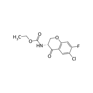 CCOC(=O)N[C@@H]1COc2cc(F)c(Cl)cc2C1=O